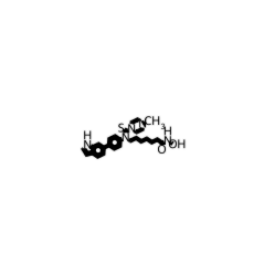 CN1CCN(C(=S)N(CCCCCCC(=O)NO)c2ccc(-c3ccc4cc[nH]c4c3)cc2)CC1